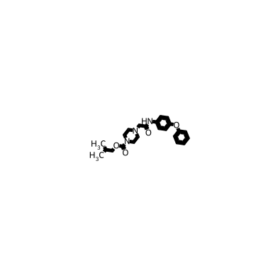 CC(C)COC(=O)N1CCN(CC(=O)Nc2ccc(Oc3ccccc3)cc2)CC1